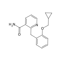 NC(=O)c1cccnc1Cc1ccccc1OCC1CC1